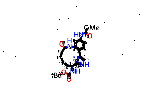 COC(=O)Nc1ccc2c(c1)NC(=O)CCCCC(NC(=O)OC(C)(C)C)c1nc-2c[nH]1